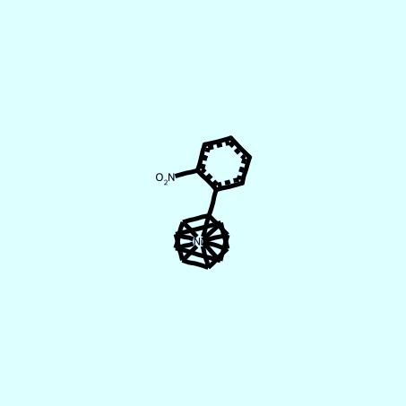 O=[N+]([O-])c1ccccc1[C]12[CH]3[CH]4[CH]5[CH]1[Ni]45321678[CH]2[CH]1[CH]6[CH]7[CH]28